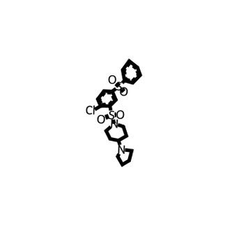 O=S(=O)(c1ccccc1)c1ccc(Cl)c(S(=O)(=O)N2CCC(N3CCCC3)CC2)c1